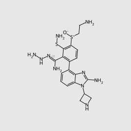 NCC[S+]([O-])c1ccc(-c2cccc3c2nc(N)n3C2CNC2)c(/C(N)=N/NN)c1SN